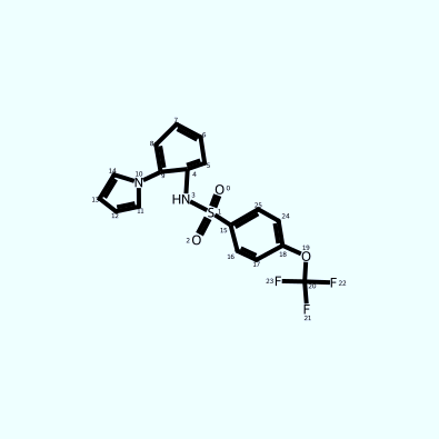 O=S(=O)(Nc1ccccc1-n1cccc1)c1ccc(OC(F)(F)F)cc1